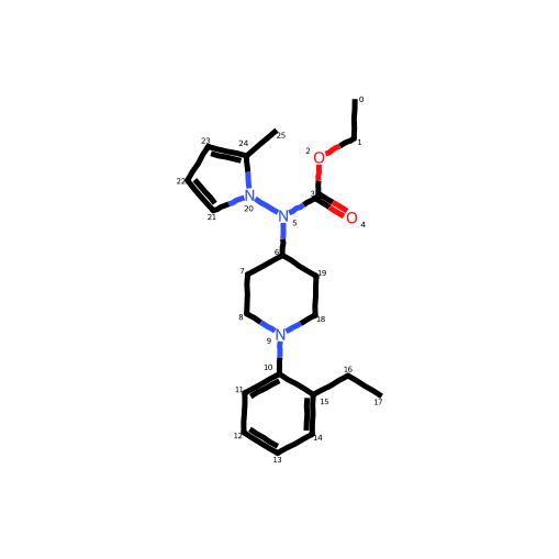 CCOC(=O)N(C1CCN(c2ccccc2CC)CC1)n1cccc1C